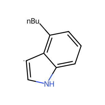 CCCCc1cccc2[nH]c[c]c12